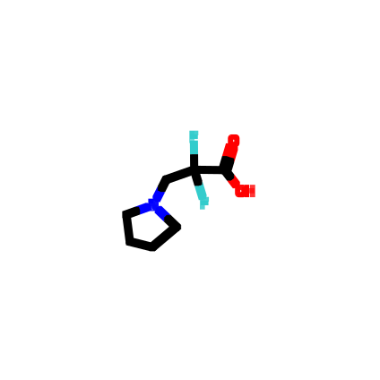 O=C(O)C(F)(F)CN1CCCC1